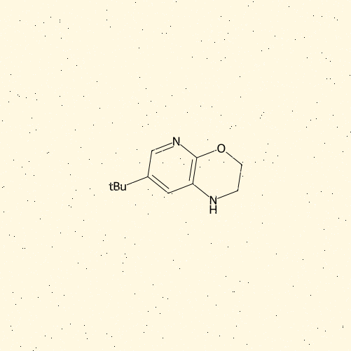 CC(C)(C)c1cnc2c(c1)NCCO2